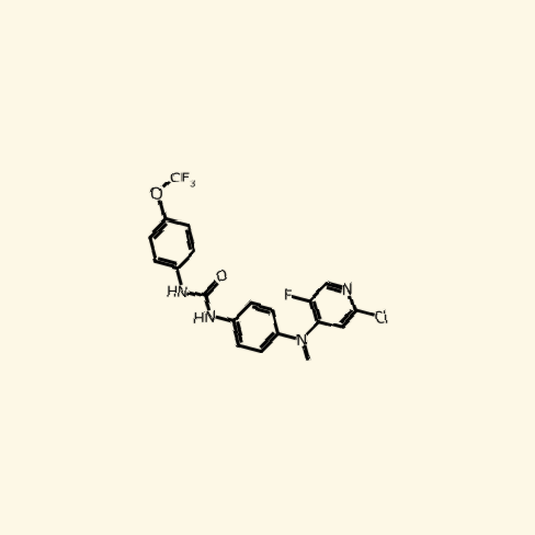 CN(c1ccc(NC(=O)Nc2ccc(OC(F)(F)F)cc2)cc1)c1cc(Cl)ncc1F